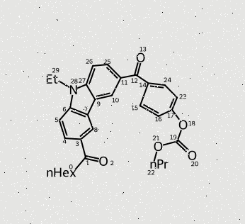 CCCCCCC(=O)c1ccc2c(c1)c1cc(C(=O)c3ccc(OC(=O)OCCC)cc3)ccc1n2CC